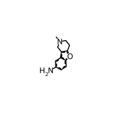 CN1CCc2oc3ccc(N)cc3c2C1